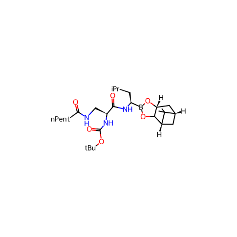 CCCCCC(=O)NC[C@H](NC(=O)OC(C)(C)C)C(=O)N[C@@H](CC(C)C)B1OC2[C@H]3C[C@@H](C[C@H]2O1)C3(C)C